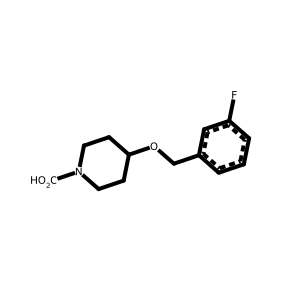 O=C(O)N1CCC(OCc2cccc(F)c2)CC1